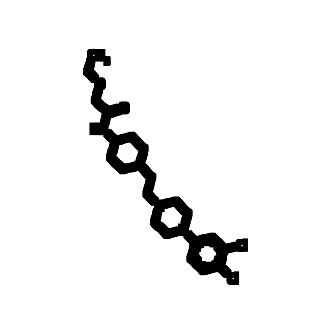 CCOCC(=O)NC1CCC(CCN2CCN(c3ccc(Cl)c(Cl)c3)CC2)CC1